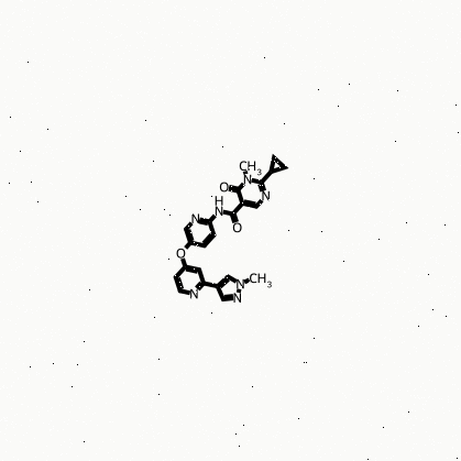 Cn1cc(-c2cc(Oc3ccc(NC(=O)c4cnc(C5CC5)n(C)c4=O)nc3)ccn2)cn1